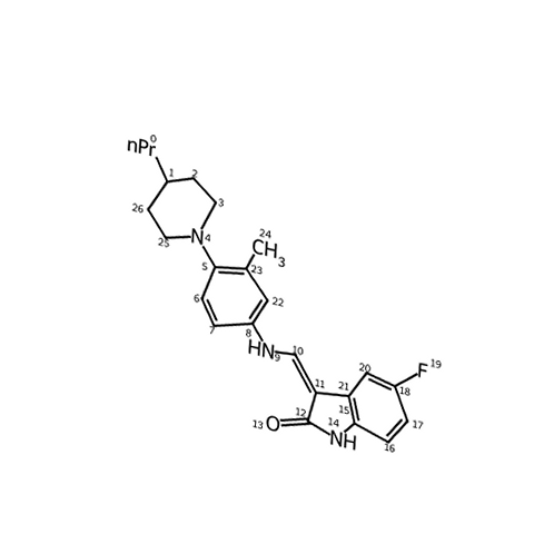 CCCC1CCN(c2ccc(NC=C3C(=O)Nc4ccc(F)cc43)cc2C)CC1